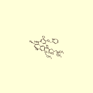 CCOc1cc2ncc(C#N)c(Nc3ccc(OCc4ccccn4)c(Cl)c3)c2cc1NC(=O)CC(S)CN(C)C